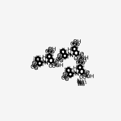 O=C1C(S(=O)(=O)O)=Cc2cc(S(=O)(=O)O)ccc2/C1=N\Nc1ccc(S(=O)(=O)[O-])c2ccccc12.O=C1C(S(=O)(=O)O)=Cc2cc(S(=O)(=O)O)ccc2/C1=N\Nc1ccc(S(=O)(=O)[O-])c2ccccc12.O=C1C(S(=O)(=O)O)=Cc2cc(S(=O)(=O)O)ccc2/C1=N\Nc1ccc(S(=O)(=O)[O-])c2ccccc12.[Na+].[Na+].[Na+]